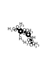 COC(=O)c1cc(C)c2c(c1C)OC(C)([C@@H]1CC[C@@H](NC(=O)OC(C)(C)C)CO1)O2